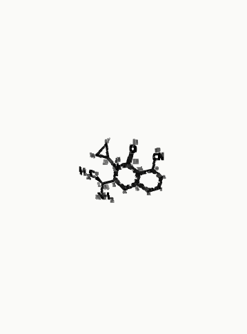 C[C@H](N)c1cc2cccc(C#N)c2c(=O)n1C1CC1